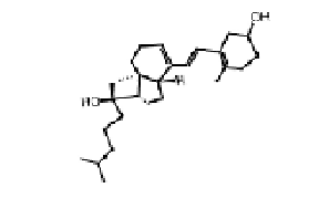 CC1=C(/C=C/C2=CCC[C@@]3(C)[C@H]2CC[C@@H]3[C@@](C)(O)CCCC(C)C)C[C@@H](O)CC1